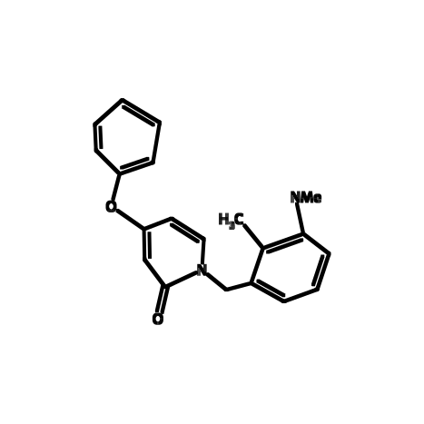 CNc1cccc(Cn2ccc(Oc3ccccc3)cc2=O)c1C